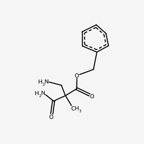 CC(CN)(C(N)=O)C(=O)OCc1ccccc1